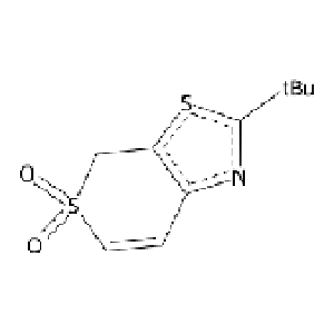 CC(C)(C)c1nc2c(s1)CS(=O)(=O)C=C2